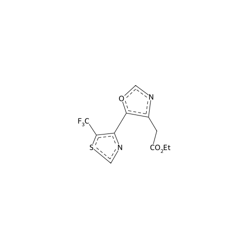 CCOC(=O)Cc1ncoc1-c1ncsc1C(F)(F)F